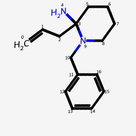 C=CCC1(N)CCCCN1Cc1ccccc1